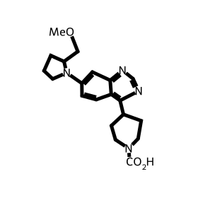 COCC1CCCN1c1ccc2c(C3CCN(C(=O)O)CC3)ncnc2c1